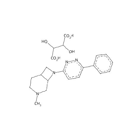 CN1CCC2CN(c3ccc(-c4ccccc4)nn3)C2C1.O=C(O)C(O)C(O)C(=O)O